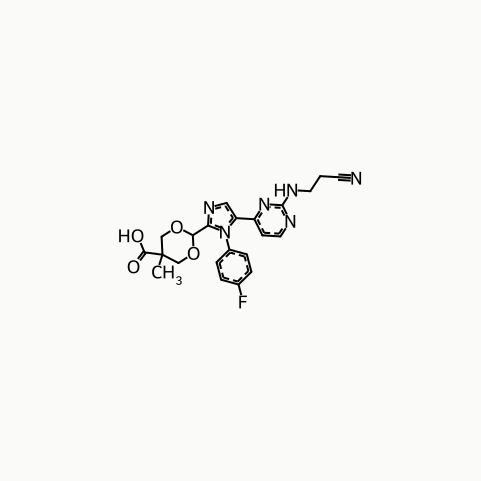 CC1(C(=O)O)COC(c2ncc(-c3ccnc(NCCC#N)n3)n2-c2ccc(F)cc2)OC1